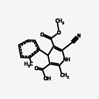 COC(=O)C1=C(C#N)NC(C)=C(C(=O)O)C1c1ccccc1C